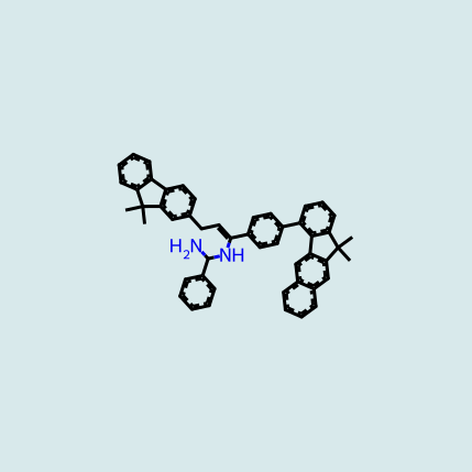 CC1(C)c2ccccc2-c2ccc(C/C=C(\NC(N)c3ccccc3)c3ccc(-c4cccc5c4-c4cc6ccccc6cc4C5(C)C)cc3)cc21